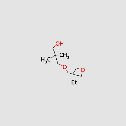 CCC1(COCC(C)(C)CO)COC1